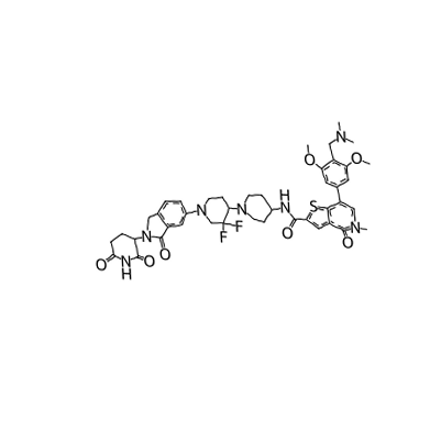 COc1cc(-c2cn(C)c(=O)c3cc(C(=O)NC4CCN(C5CCN(c6ccc7c(c6)C(=O)N(C6CCC(=O)NC6=O)C7)CC5(F)F)CC4)sc23)cc(OC)c1CN(C)C